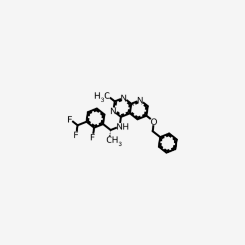 Cc1nc(N[C@H](C)c2cccc(C(F)F)c2F)c2cc(OCc3ccccc3)cnc2n1